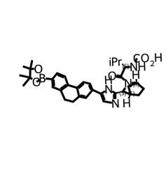 CC(C)[C@H](NC(=O)O)C(=O)N1[C@@H]2CC[C@@H](C2)[C@H]1c1ncc(-c2ccc3c(c2)CCc2cc(B4OC(C)(C)C(C)(C)O4)ccc2-3)[nH]1